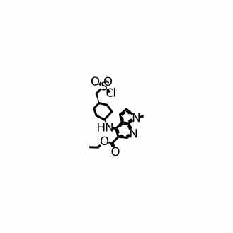 CCOC(=O)c1cnc2c(ccn2C)c1N[C@H]1CC[C@H](CS(=O)(=O)Cl)CC1